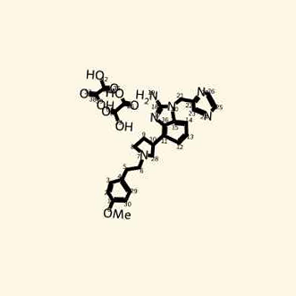 COc1ccc(CCN2CCC(c3cccc4c3nc(N)n4Cc3cnccn3)C2)cc1.O=C(O)C(=O)O.O=C(O)C(=O)O